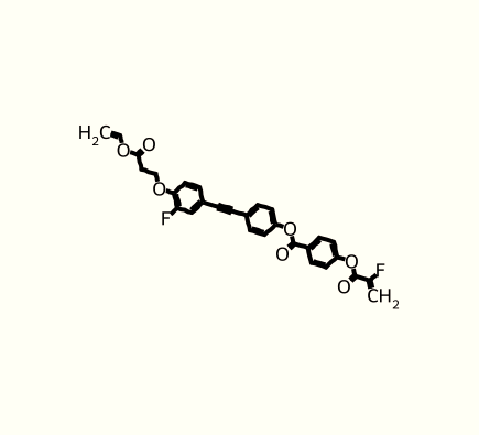 C=COC(=O)CCOc1ccc(C#Cc2ccc(OC(=O)c3ccc(OC(=O)C(=C)F)cc3)cc2)cc1F